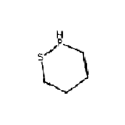 C1CCSPC1